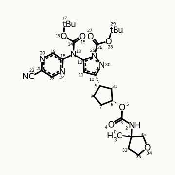 CC1(NC(=O)O[C@@H]2CC[C@H](c3cc(N(C(=O)OC(C)(C)C)c4cnc(C#N)cn4)n(C(=O)OC(C)(C)C)n3)C2)CCOC1